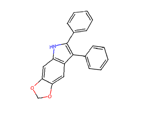 c1ccc(-c2[nH]c3cc4c(cc3c2-c2ccccc2)OCO4)cc1